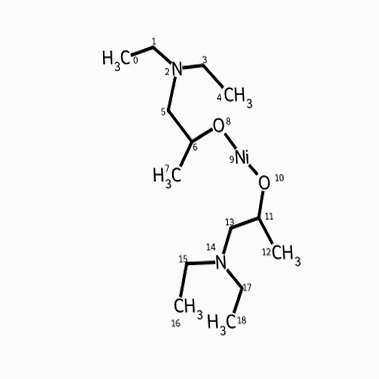 CCN(CC)CC(C)[O][Ni][O]C(C)CN(CC)CC